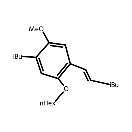 CCCCCCOc1cc(C(C)CC)c(OC)cc1/C=C/C(C)CC